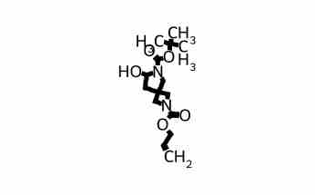 C=CCOC(=O)N1CC2(CC(O)N(C(=O)OC(C)(C)C)C2)C1